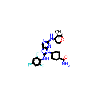 C[C@H]1COCC[C@@H]1Nc1ncc2nc(Nc3c(F)cc(F)cc3F)n(C3CCC(C(N)=O)CC3)c2n1